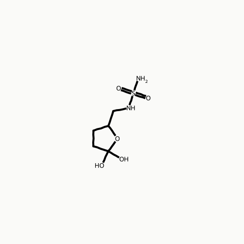 NS(=O)(=O)NCC1CCC(O)(O)O1